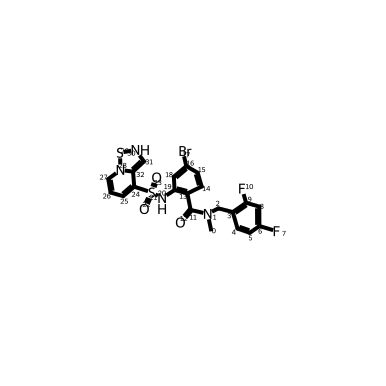 CN(Cc1ccc(F)cc1F)C(=O)c1ccc(Br)cc1NS(=O)(=O)C1=CC=CN2SNC=C12